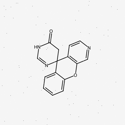 O=C1CC2(N=CN1)c1ccccc1Oc1cnccc12